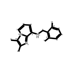 [CH2]c1nc2c(NCc3c(C)cccc3C)cccn2c1C